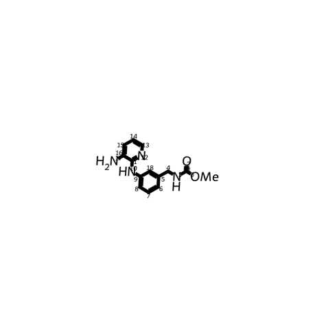 COC(=O)NCc1cccc(Nc2ncccc2N)c1